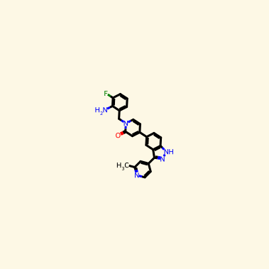 Cc1cc(-c2n[nH]c3ccc(-c4ccn(Cc5cccc(F)c5N)c(=O)c4)cc23)ccn1